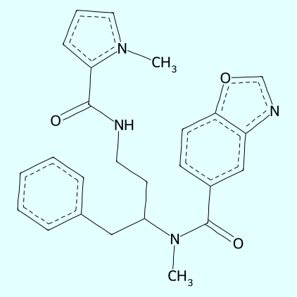 CN(C(=O)c1ccc2ocnc2c1)C(CCNC(=O)c1cccn1C)Cc1ccccc1